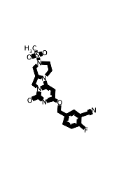 CS(=O)(=O)N1CCN2c3cc(OCc4ccc(F)c(C#N)c4)nc(=O)n3CC2C1